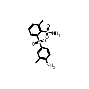 Cc1cc(S(=O)(=O)c2cccc(C)c2S(N)(=O)=O)ccc1N